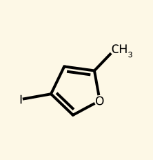 Cc1cc(I)co1